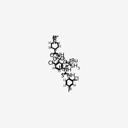 CC(C)(C)[Si](C)(C)Oc1c(NC(=S)Nc2ccc(F)cc2Cl)ccc(Cl)c1S(=O)(=O)NC(=O)C1CC[NH+]([O-])CC1